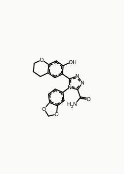 NC(=O)c1nnc(-c2cc3c(cc2O)OCCC3)n1-c1ccc2c(c1)OCO2